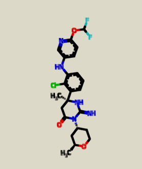 C[C@H]1C[C@H](N2C(=N)N[C@](C)(c3cccc(Nc4ccc(OC(F)F)nc4)c3Cl)CC2=O)CCO1